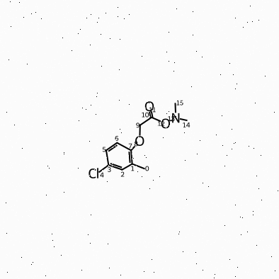 Cc1cc(Cl)ccc1OCC(=O)ON(C)C